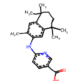 Cc1cc2c(cc1Nc1ccc(C(=O)O)cn1)C(C)(C)CCC2(C)C